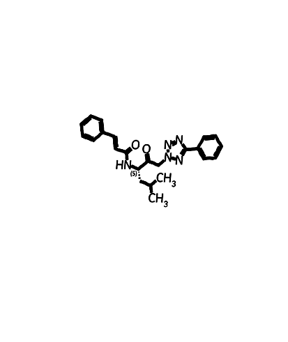 CC(C)C[C@H](NC(=O)C=Cc1ccccc1)C(=O)Cn1nnc(-c2ccccc2)n1